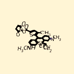 C=C[Si]1(C)C2=C/C(=N/C)C=CC2=C(c2sc(C(=O)ON3C(=O)CCC3=O)cc2C)c2ccc(NC)cc21